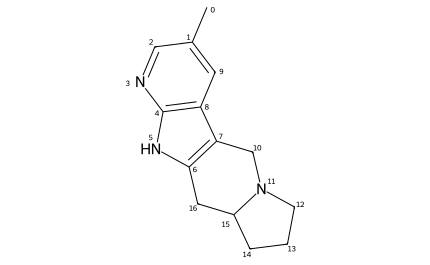 Cc1cnc2[nH]c3c(c2c1)CN1CCCC1C3